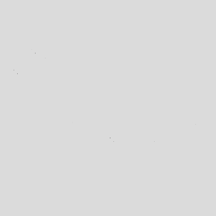 CC(NCc1ccc(C(=N)N)cc1)C(=O)NCC(=O)NCc1cccnc1.Cl